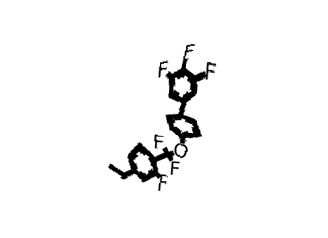 CCc1ccc(C(F)(F)Oc2ccc(-c3cc(F)c(F)c(F)c3)cc2)c(F)c1